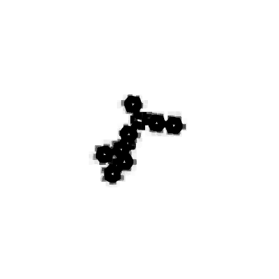 c1ccc(C2=NC(c3ccc4c(c3)oc3ccc(-c5ccccc5-n5c6ccccc6c6ccccc65)cc34)=NC(c3ccc(-c4ccccc4)cc3)N2)cc1